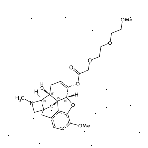 COCCOCCOCC(=O)OC1=CC[C@@]2(O)[C@@H]3N(C)CC34Cc3ccc(OC)c5c3[C@@]2(C4)[C@H]1O5